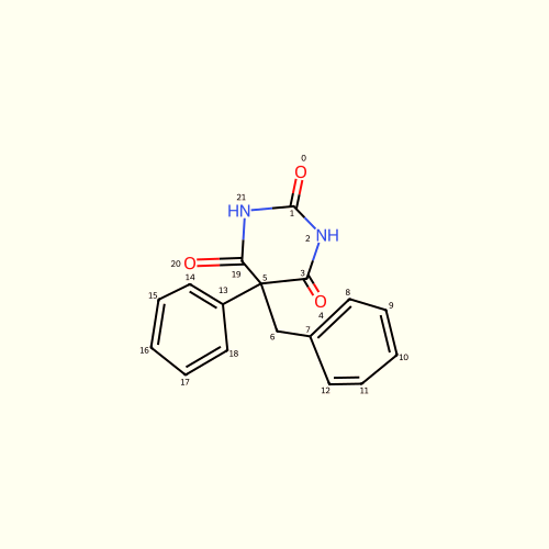 O=C1NC(=O)C(Cc2ccccc2)(c2ccccc2)C(=O)N1